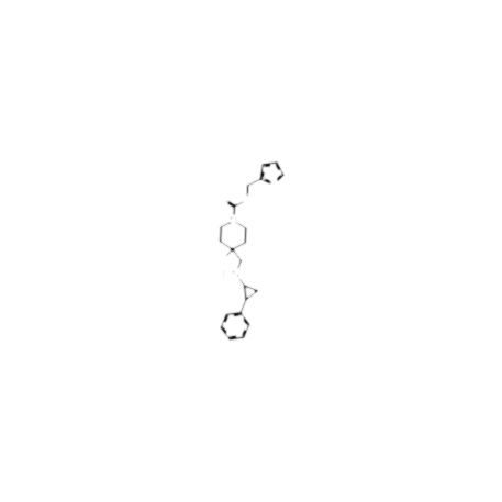 O=C(OCc1cccs1)N1CCC(F)(CNC2CC2c2ccccc2)CC1